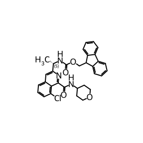 C[C@H](NC(=O)OCC1c2ccccc2-c2ccccc21)c1cc2cccc(Cl)c2c(C(=O)NC2CCOCC2)n1